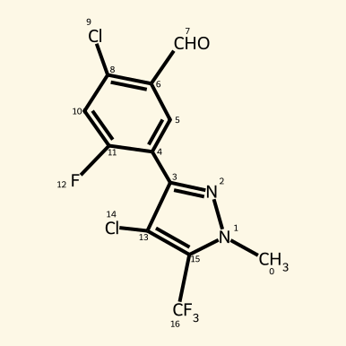 Cn1nc(-c2cc(C=O)c(Cl)cc2F)c(Cl)c1C(F)(F)F